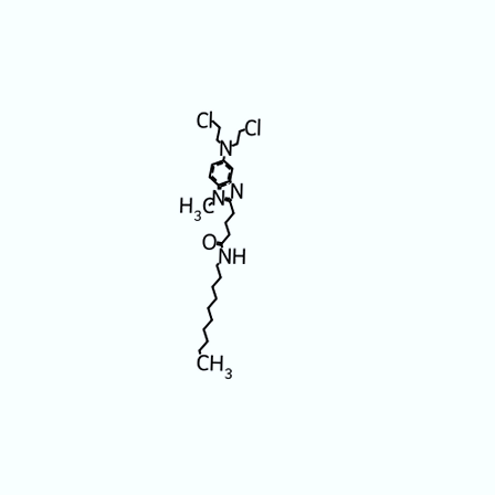 CCCCCCCCCCNC(=O)CCCc1nc2cc(N(CCCl)CCCl)ccc2n1C